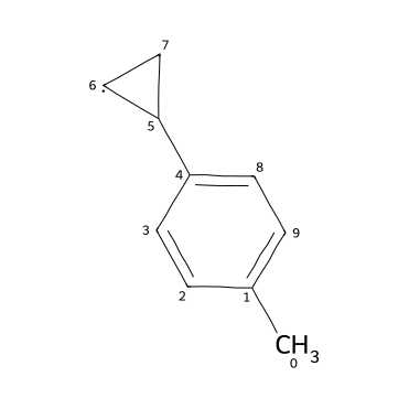 Cc1ccc(C2[CH]C2)cc1